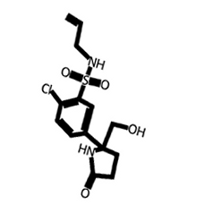 C=CCNS(=O)(=O)c1cc(C2(CO)CCC(=O)N2)ccc1Cl